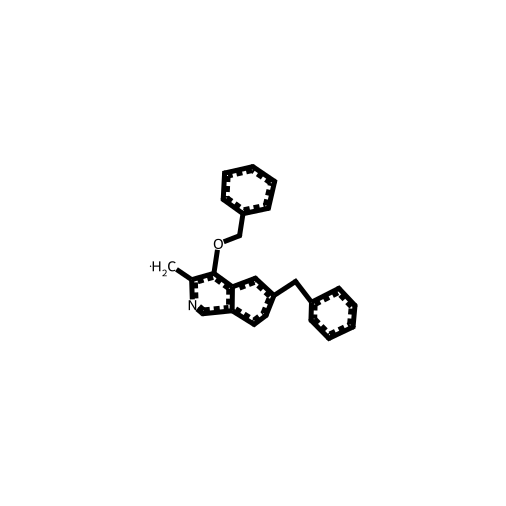 [CH2]c1ncc2ccc(Cc3ccccc3)cc2c1OCc1ccccc1